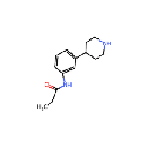 CCC(=O)Nc1cccc(C2CCNCC2)c1